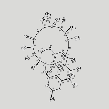 CC[C@H]1OC(=O)[C@H](C)[C@@H](O)[C@H](C)[C@@H](O[C@@H]2O[C@H](C)C[C@H](N(C)C)[C@H]2c2cc(OC)ccc2C(=O)O)[C@](C)(O)C[C@@H](C)CN(C)[C@H](C)[C@@H](O)[C@]1(C)O